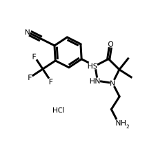 CC1(C)C(=O)[SH](c2ccc(C#N)c(C(F)(F)F)c2)NN1CCN.Cl